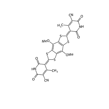 COc1c2c(c(OC)c3c1SC(=C1C(=O)NC(=O)C(C#N)=C1C)S3)SC(=C1C(=O)NC(=O)C(C#N)=C1C)S2